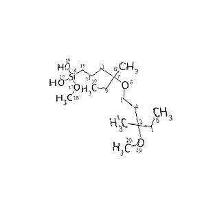 CCC(C)(CCOC(C)(CC)CCC[Si](O)(O)OC)OC